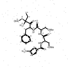 COCC(NC(=O)c1cnc(C)s1)C(=O)NC(COC)C(=O)NC(Cc1ccccc1)C(=O)C(C)(CI)OC=O